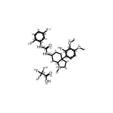 COc1ccc(C23CCC(NC(=O)Nc4cc(F)ccc4F)CC2N(C)CC3)c(F)c1OC.O=C(O)C(F)(F)F